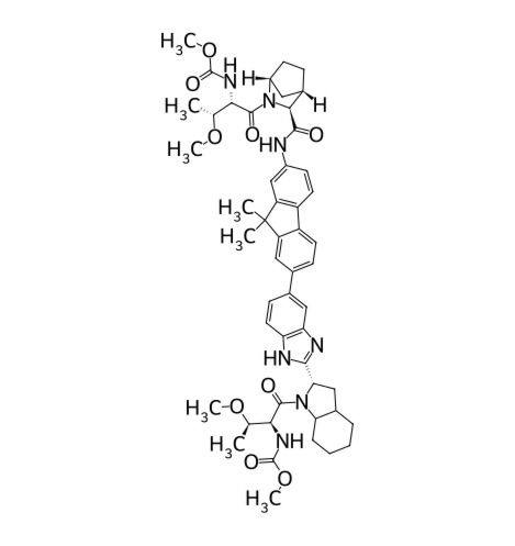 COC(=O)N[C@H](C(=O)N1C2CCCCC2C[C@H]1c1nc2cc(-c3ccc4c(c3)C(C)(C)c3cc(NC(=O)[C@@H]5[C@H]6CC[C@H](C6)N5C(=O)[C@@H](NC(=O)OC)[C@@H](C)OC)ccc3-4)ccc2[nH]1)[C@@H](C)OC